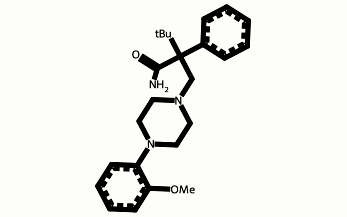 COc1ccccc1N1CCN(CC(C(N)=O)(c2ccccc2)C(C)(C)C)CC1